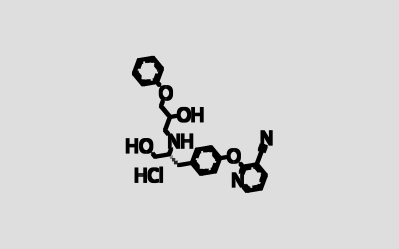 Cl.N#Cc1cccnc1Oc1ccc(C[C@H](CO)NCC(O)COc2ccccc2)cc1